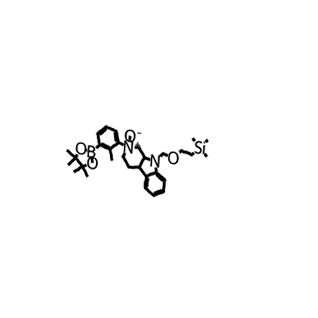 Cc1c(B2OC(C)(C)C(C)(C)O2)cccc1[N+]1([O-])CCC2c3ccccc3N(COCC[Si](C)(C)C)C2C1